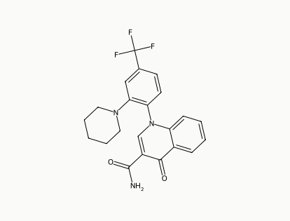 NC(=O)c1cn(-c2ccc(C(F)(F)F)cc2N2CCCCC2)c2ccccc2c1=O